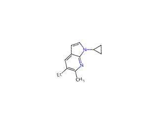 CCc1cc2ccn(C3CC3)c2nc1C